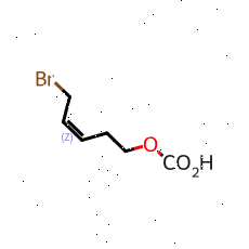 O=C(O)OCC/C=C\CBr